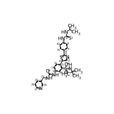 CC(C)NC(=S)Nc1ccc(-c2ncc(-c3ccc(NC(=O)NCc4cccnc4)cc3S(=O)(=O)NC(C)(C)C)s2)cc1